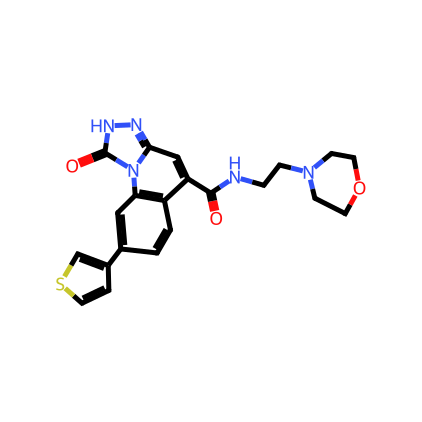 O=C(NCCN1CCOCC1)c1cc2n[nH]c(=O)n2c2cc(-c3ccsc3)ccc12